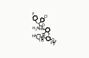 C[C@H]1CNC[C@H](CCc2c(F)cccc2NC(=O)[C@@H](N)[C@@H](Cc2ccc(F)cc2)c2ccc(Cl)cc2)N1S(=O)(=O)c1ccc(OC(F)(F)F)cc1